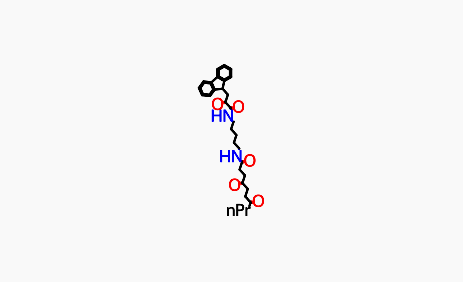 CCCC(=O)CCC(=O)CCC(=O)NCCCCCNC(=O)C(=O)CC1c2ccccc2-c2ccccc21